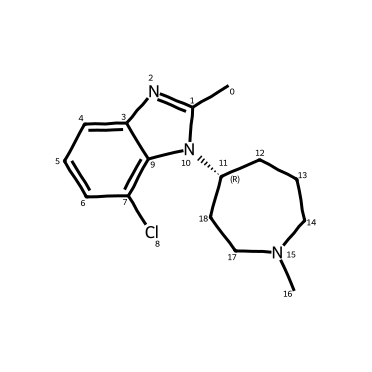 Cc1nc2cccc(Cl)c2n1[C@@H]1CCCN(C)CC1